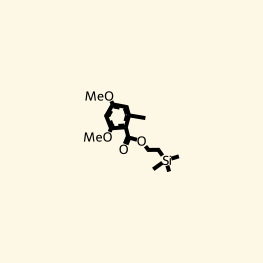 COc1cc(C)c(C(=O)OCC[Si](C)(C)C)c(OC)c1